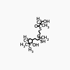 C=P(S)(CCC1C[C@@H](C)C(C)(C)[C@@H]1O)OCCSC(=O)C(C)(C)CO